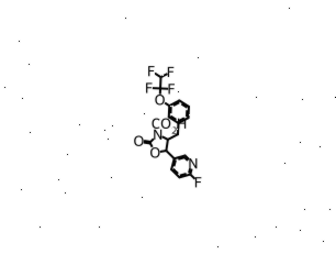 O=C(O)N1C(=O)OC(c2ccc(F)nc2)C1Cc1cccc(OC(F)(F)C(F)F)c1